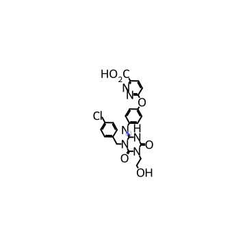 O=C(O)c1ccc(Oc2ccc(/N=c3\[nH]c(=O)n(CCO)c(=O)n3Cc3ccc(Cl)cc3)cc2)nn1